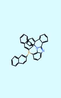 c1ccc2cc(P(c3ccc4ccccc4c3)c3cccc4nc5c6ccccc6c6ccccc6n5c34)ccc2c1